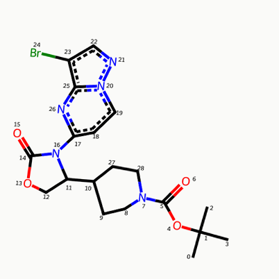 CC(C)(C)OC(=O)N1CCC(C2COC(=O)N2c2ccn3ncc(Br)c3n2)CC1